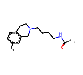 N#Cc1ccc2c(c1)CN(CCCCNC(=O)C(F)(F)F)CC2